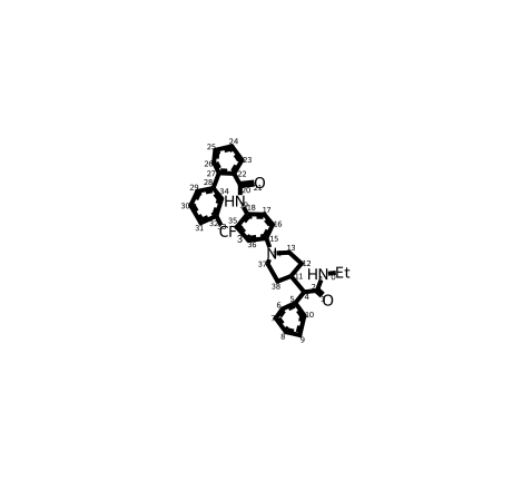 CCNC(=O)C(c1ccccc1)C1CCN(c2ccc(NC(=O)c3ccccc3-c3cccc(C(F)(F)F)c3)cc2)CC1